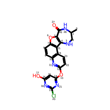 CC1CNc2c(oc3ccc4nc(Oc5cc(O)nc(Cl)n5)ccc4c23)C(=O)N1